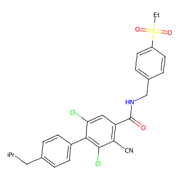 CCS(=O)(=O)c1ccc(CNC(=O)c2cc(Cl)c(-c3ccc(CC(C)C)cc3)c(Cl)c2C#N)cc1